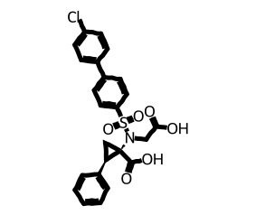 O=C(O)CN([C@@]1(C(=O)O)C[C@@H]1c1ccccc1)S(=O)(=O)c1ccc(-c2ccc(Cl)cc2)cc1